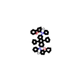 COc1ccccc1N(c1ccc2c(-c3ccccc3)c3cc(N(c4ccccc4OC)c4cccc5c4oc4ccccc45)ccc3c(-c3ccccc3)c2c1)c1cccc2c1OC1C=CC=CC21